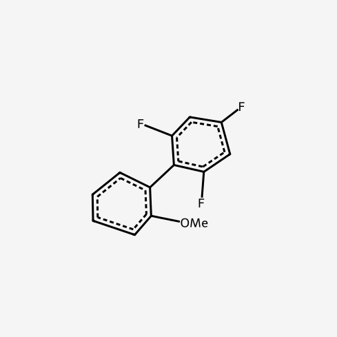 [CH2]Oc1ccccc1-c1c(F)cc(F)cc1F